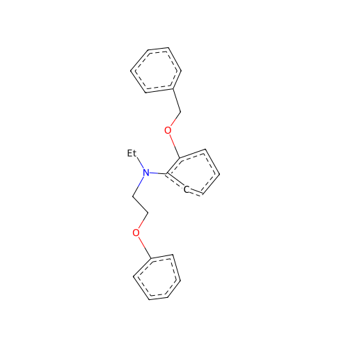 CCN(CCOc1ccccc1)c1ccccc1OCc1ccccc1